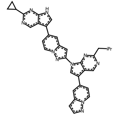 CC(C)Cc1ncc2c(-c3ccn4nccc4c3)cn(-c3cc4cc(-c5c[nH]c6nc(C7CC7)ncc56)ccn4n3)c2n1